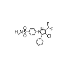 NS(=O)(=O)c1ccc(-n2nc(C(F)F)c(Cl)c2-c2ccccc2)cc1